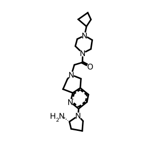 N[C@H]1CCCN1c1ccc2c(n1)CCN(CC(=O)N1CCN(C3CCC3)CC1)C2